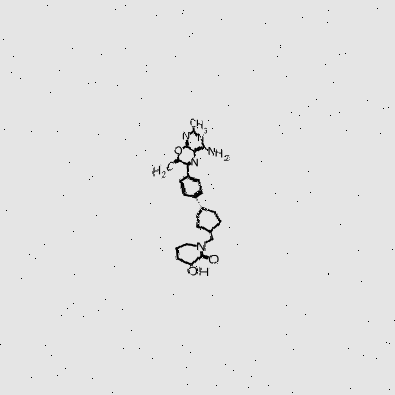 C=C1Oc2nc(C)nc(N)c2N=C1c1ccc([C@H]2CC[C@H](CN3CCCC(O)C3=O)CC2)cc1